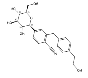 N#Cc1ccc([C@@H]2O[C@H](CO)[C@@H](O)[C@H](O)[C@H]2O)cc1Cc1ccc(CCO)cc1